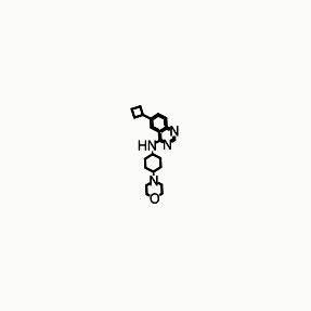 c1nc(N[C@H]2CC[C@H](N3CCOCC3)CC2)c2cc(C3CCC3)ccc2n1